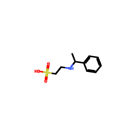 CC(NCCS(=O)(=O)O)c1ccccc1